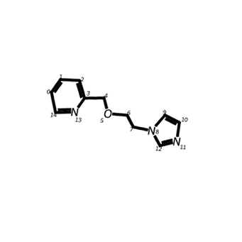 c1ccc(COCCn2ccnc2)nc1